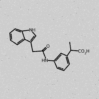 CC(C(=O)O)c1cccc(NC(=O)Cc2c[nH]c3ccccc23)c1